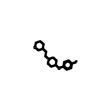 Fc1ccc(OC2CCN(CCC3CCCOC3)CC2)cc1